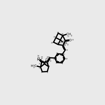 CC12CCC(/C(=C\c3cccc(/C=C4/C(=O)C5(C)CC6CC4C65C)c3)C1=O)C2(C)C